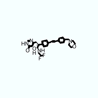 O=c1[nH]cnc(C[C@H](CNCC(F)F)c2ccc(C#Cc3ccc(CN4CCOCC4)cc3)cc2)c1O